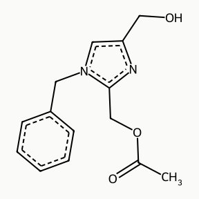 CC(=O)OCc1nc(CO)cn1Cc1ccccc1